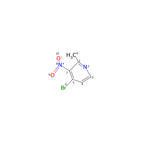 Cc1nccc(Br)c1[N+](=O)[O-]